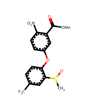 COC(=O)c1cc(Oc2ccc(C(F)(F)F)cc2[S+](C)[O-])ccc1[N+](=O)[O-]